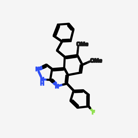 COc1cc2c(-c3ccc(F)cc3)nc3[nH]ncc3c2c(Cc2ccccc2)c1OC